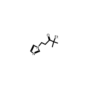 CCC(C)(C)C(=O)CCn1ccnc1